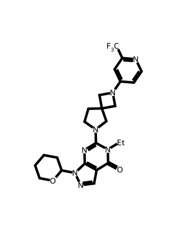 CCn1c(N2CCC3(CN(c4ccnc(C(F)(F)F)c4)C3)C2)nc2c(cnn2C2CCCCO2)c1=O